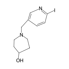 OC1CCN(Cc2ccc(I)nc2)CC1